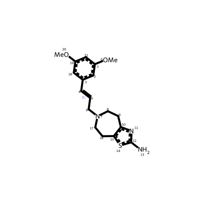 COc1cc(/C=C/CN2CCc3nc(N)sc3CC2)cc(OC)c1